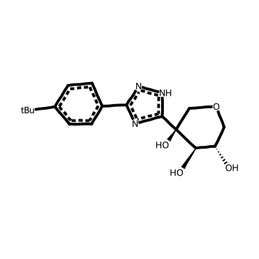 CC(C)(C)c1ccc(-c2n[nH]c([C@]3(O)COC[C@H](O)[C@H]3O)n2)cc1